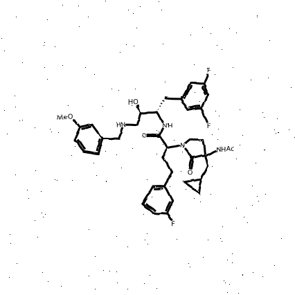 COc1cccc(CNC[C@@H](O)[C@H](Cc2cc(F)cc(F)c2)NC(=O)[C@H](CCc2cccc(F)c2)N2CCC(CC3CC3)(NC(C)=O)C2=O)c1